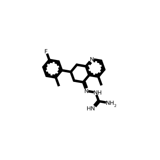 Cc1ccc(F)cc1C1C/C(=N/NC(=N)N)c2c(C)ccnc2C1